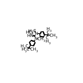 CN(C(=N)N(C)c1ccc(C(C)(C)C)cc1)c1ccc(C(C)(C)C)cc1.Cl